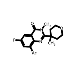 CC(=O)c1cc(F)cc2c(=O)n(C)c(C3(C)CCOCC3)nc12